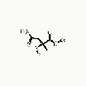 CCOC(=O)C(C)(N)CC(N)=O